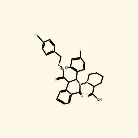 O=C(NOCc1ccc(Cl)cc1)C1c2ccccc2C(=O)N(N2CCCCC2C(=O)O)C1c1ccc(Cl)cc1Cl